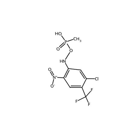 CP(=O)(O)ONc1cc(Cl)c(C(F)(F)F)cc1[N+](=O)[O-]